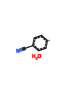 N#Cc1cc[c]cc1.O